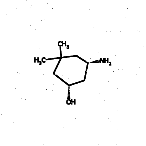 CC1(C)C[C@H](N)C[C@H](O)C1